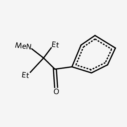 CCC(CC)(NC)C(=O)c1ccccc1